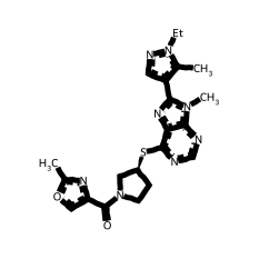 CCn1ncc(-c2nc3c(S[C@H]4CCN(C(=O)c5coc(C)n5)C4)ncnc3n2C)c1C